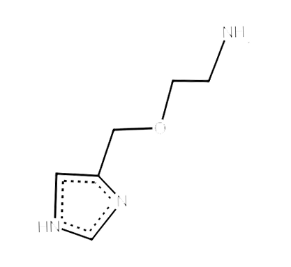 NCCOCc1c[nH]cn1